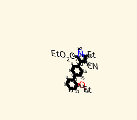 CCOC(=O)c1c(-c2ccc(-c3ccccc3OCC)cc2)c(C#N)c(CC)n1C